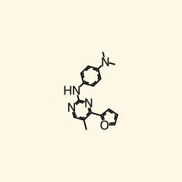 Cc1cnc(Nc2ccc(N(C)C)cc2)nc1-c1ccco1